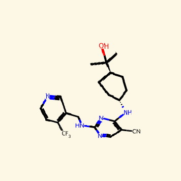 CC(C)(O)[C@H]1CC[C@H](Nc2nc(NCc3cnccc3C(F)(F)F)ncc2C#N)CC1